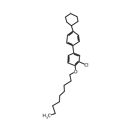 CCCCCCCCCOc1ccc(-c2ccc(C3CC[CH]CC3)cc2)cc1Cl